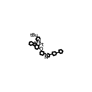 CC(C)(C)c1ccnc(-n2c3ccccc3c3ccc(Oc4cccc(-n5cc(-c6ccc(-c7ccccc7)cc6)cn5)c4)[c]([Pt])c32)c1